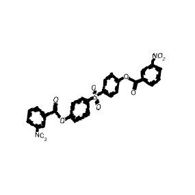 O=C(Oc1ccc(S(=O)(=O)c2ccc(OC(=O)c3cccc([N+](=O)[O-])c3)cc2)cc1)c1cccc([N+](=O)[O-])c1